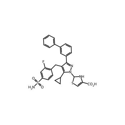 NS(=O)(=O)c1ccc(Cc2c(-c3cccc(-c4ccccc4)c3)nn(C3NC(C(=O)O)=CS3)c2C2CC2)c(F)c1